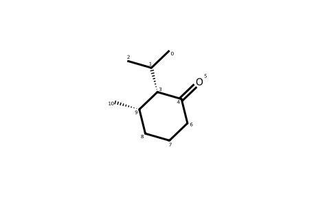 CC(C)[C@@H]1C(=O)CCC[C@@H]1C